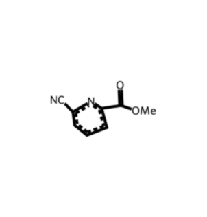 COC(=O)c1cccc(C#N)n1